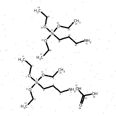 CCO[Si](CCCN)(OCC)OCC.CCO[Si](CCCN)(OCC)OCC.O=C(O)O